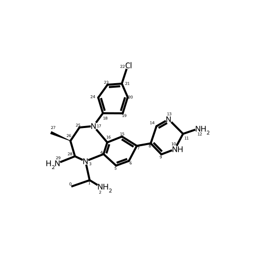 CC(N)N1c2ccc(C3=CNC(N)N=C3)cc2N(c2ccc(Cl)cc2)C[C@H](C)C1N